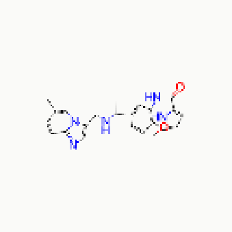 C=C(NCc1cnc2ccc(C)cn12)c1ccc2c(c1)NC(=O)/C(NOC)=C/C=C\2